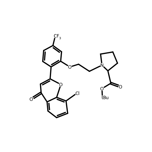 CC(C)(C)OC(=O)C1CCCN1CCOc1cc(C(F)(F)F)ccc1-c1cc(=O)c2cccc(Cl)c2o1